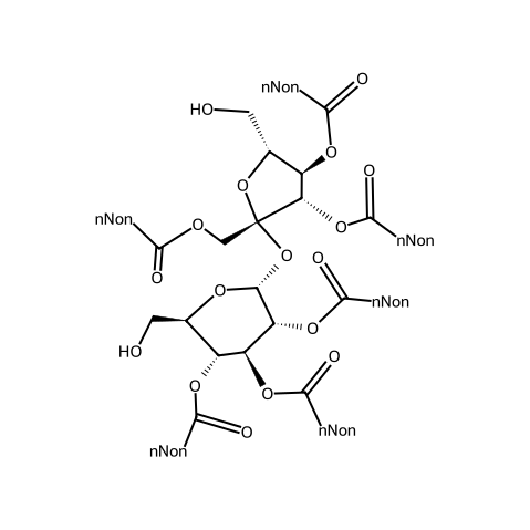 CCCCCCCCCC(=O)OC[C@@]1(O[C@H]2O[C@H](CO)[C@@H](OC(=O)CCCCCCCCC)[C@H](OC(=O)CCCCCCCCC)[C@H]2OC(=O)CCCCCCCCC)O[C@H](CO)[C@@H](OC(=O)CCCCCCCCC)[C@@H]1OC(=O)CCCCCCCCC